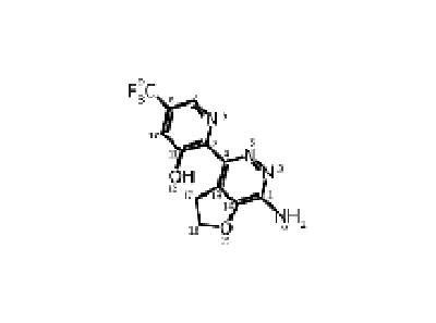 Nc1nnc(-c2ncc(C(F)(F)F)cc2O)c2c1OCC2